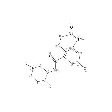 CC1CCN(C)CC1NC(=O)c1cc(Cl)cc2c1OCC(=O)N2C